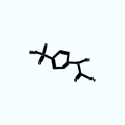 CNS(=O)(=O)c1ccc(N(S)C(N)=O)cc1